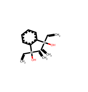 C=C[Si](O)(C=C)c1ccccc1[Si](O)(C=C)C=C